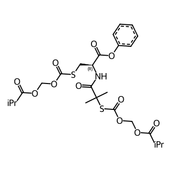 CC(C)C(=O)OCOC(=O)SC[C@H](NC(=O)C(C)(C)SC(=O)OCOC(=O)C(C)C)C(=O)Oc1ccccc1